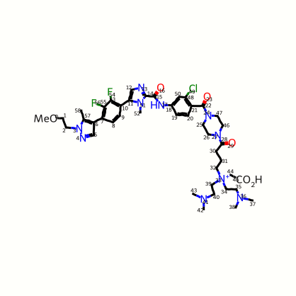 COCCn1ncc(-c2ccc(-c3cnc(C(=O)Nc4ccc(C(=O)N5CCN(C(=O)CCC[N+](CCN(C)C)(CCN(C)C)CC(=O)O)CC5)c(Cl)c4)n3C)c(F)c2F)c1C